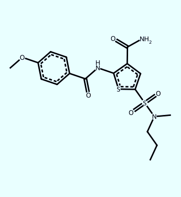 CCCN(C)S(=O)(=O)c1cc(C(N)=O)c(NC(=O)c2ccc(OC)cc2)s1